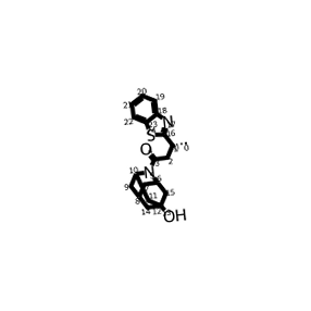 C[C@H](CC(=O)N1C2CC3CC1CC(O)(C3)C2)c1nc2ccccc2s1